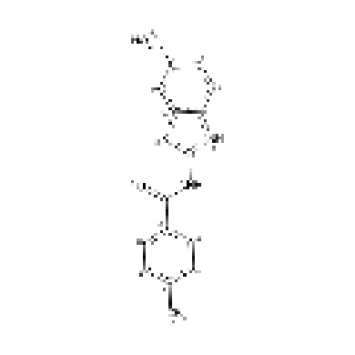 O=C(O)c1ccc2[nH]c(NC(=O)c3ccc(C(F)(F)F)cc3)nc2c1